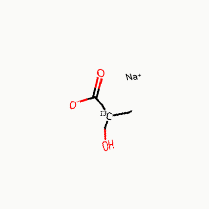 C[13CH](O)C(=O)[O-].[Na+]